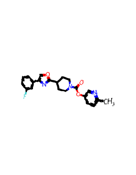 Cc1ccc(OC(=O)N2CCC(c3nc(-c4cccc(F)c4)co3)CC2)cn1